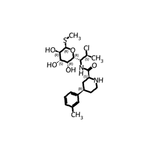 CS[C@H]1O[C@H](C(NC(=O)[C@@H]2C[C@H](c3cccc(C)c3)CCN2)[C@H](C)Cl)[C@H](O)[C@H](O)[C@H]1O